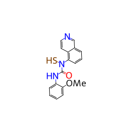 COc1ccccc1NC(=O)N(S)c1cccc2cnccc12